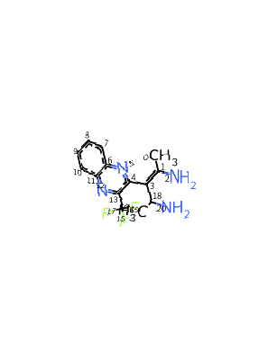 C/C(N)=C(\c1nc2ccccc2nc1C(F)(F)F)C(C)N